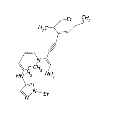 C=CC/C=C(C#C/C(=C/N)N(C)/C=C\C=C(/C)Nc1cnn(CC)c1)\C(C)=C/CC